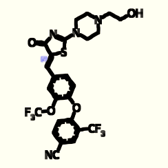 N#Cc1ccc(Oc2ccc(/C=C3\SC(N4CCN(CCO)CC4)=NC3=O)cc2OC(F)(F)F)c(C(F)(F)F)c1